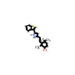 CC1=C(/C=C/C2=NNC(c3csc4ccccc34)C2)C(C)(C)CCC1O